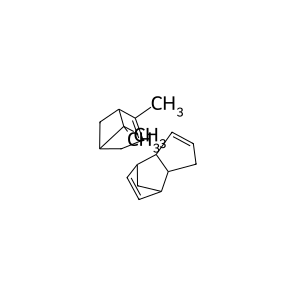 C1=CC2C3C=CC(C3)C2C1.CC1=CCC2CC1C2(C)C